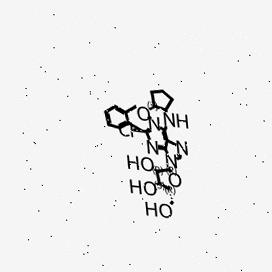 Cc1ccccc1CO[C@H]1CCCC1Nc1nc(Cl)nc2c1ncn2[C@@H]1O[C@H](CO)[C@@H](O)[C@H]1O